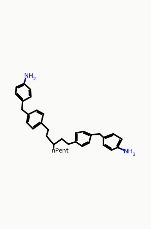 CCCCCC(CCc1ccc(Cc2ccc(N)cc2)cc1)CCc1ccc(Cc2ccc(N)cc2)cc1